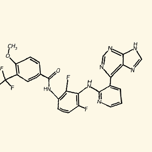 COc1ccc(C(=O)Nc2ccc(F)c(Nc3ncccc3-c3ncnc4[nH]cnc34)c2F)cc1C(F)(F)F